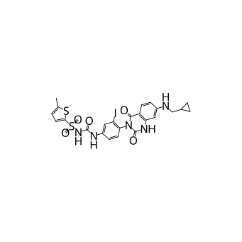 Cc1ccc(S(=O)(=O)NC(=O)Nc2ccc(-n3c(=O)[nH]c4cc(NCC5CC5)ccc4c3=O)c(I)c2)s1